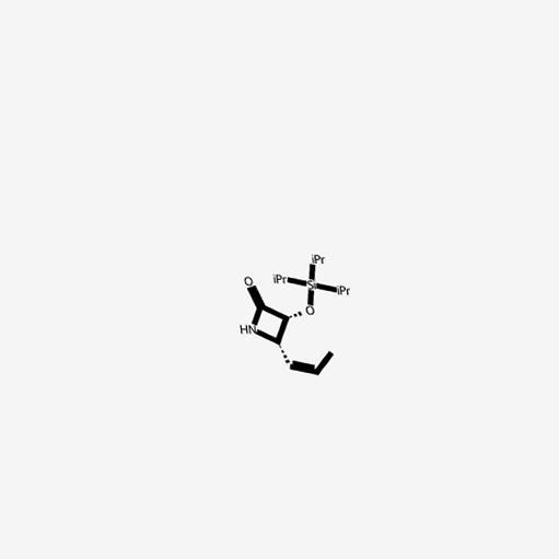 C/C=C\[C@@H]1NC(=O)[C@@H]1O[Si](C(C)C)(C(C)C)C(C)C